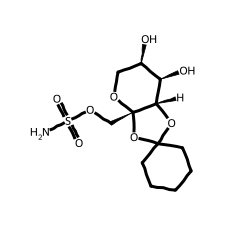 NS(=O)(=O)OC[C@@]12OC[C@@H](O)[C@@H](O)[C@@H]1OC1(CCCCC1)O2